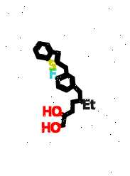 CCC(CCC(O)CO)Cc1ccc(F)c(Cc2cc3ccccc3s2)c1